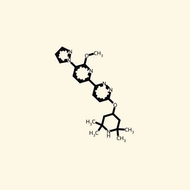 COc1nc(-c2ccc(OC3CC(C)(C)NC(C)(C)C3)nn2)ccc1-n1cccn1